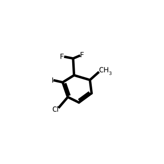 CC1C=CC(Cl)=C(I)C1C(F)F